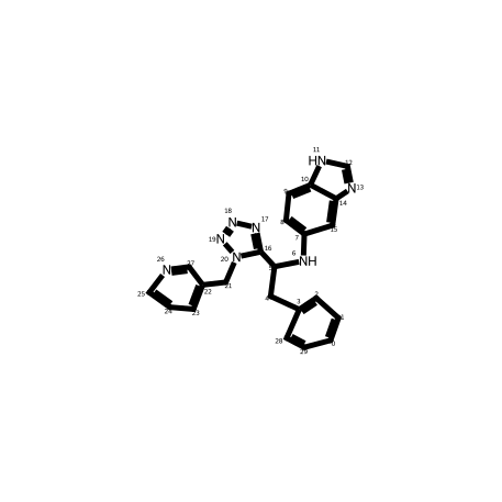 c1ccc(CC(Nc2ccc3[nH]cnc3c2)c2nnnn2Cc2cccnc2)cc1